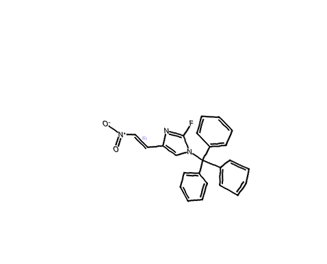 O=[N+]([O-])/C=C/c1cn(C(c2ccccc2)(c2ccccc2)c2ccccc2)c(F)n1